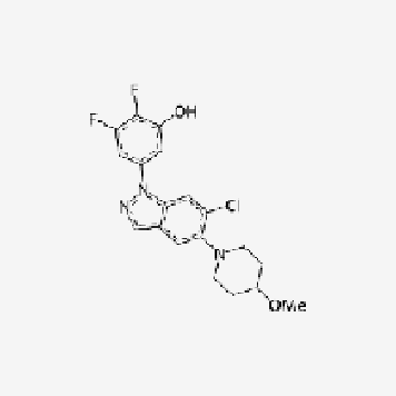 COC1CCN(c2cc3cnn(-c4cc(O)c(F)c(F)c4)c3cc2Cl)CC1